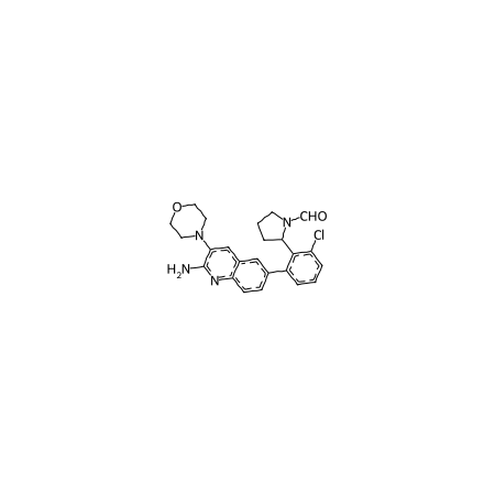 Nc1nc2ccc(-c3cccc(Cl)c3C3CCCN3C=O)cc2cc1N1CCOCC1